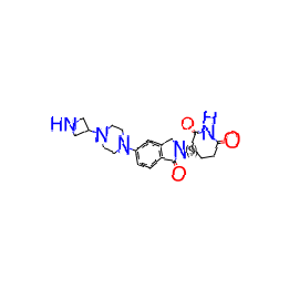 O=C1CC[C@H](N2Cc3cc(N4CCN(C5CNC5)CC4)ccc3C2=O)C(=O)N1